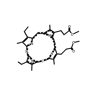 CCC1=C(C)c2nc1cc1[nH]c(cc3nc(cc4[nH]c(n2)c(CC)c4C)C(C)=C3CCC(=O)OC)c(CCC(=O)OC)c1C